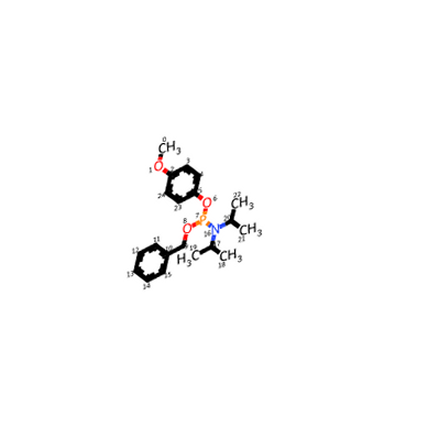 COc1ccc(OP(OCc2ccccc2)N(C(C)C)C(C)C)cc1